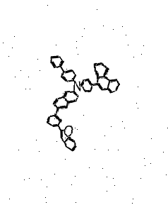 c1ccc(-c2ccc(N(c3ccc(-c4cc5ccccc5c5ccccc45)cc3)c3ccc4cc(-c5cccc(-c6cc7ccccc7o6)c5)ccc4c3)cc2)cc1